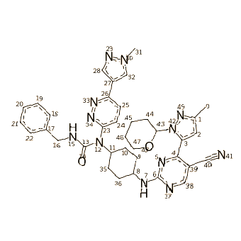 Cc1cc(-c2nc(NC3CCC(N(C(=O)NCc4ccccc4)c4ccc(-c5cnn(C)c5)nn4)CC3)ncc2C#N)n(C2CCCCO2)n1